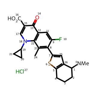 CNC1CCCc2sc(-c3c(F)cc4c(=O)c(C(=O)O)cn(C5CC5)c4c3C)cc21.Cl